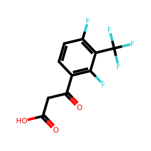 O=C(O)CC(=O)c1ccc(F)c(C(F)(F)F)c1F